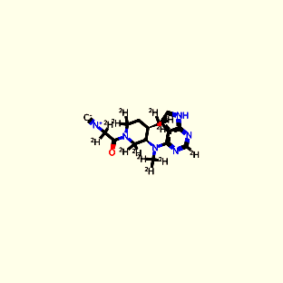 [2H]c1nc(N([C@@H]2[C@H](C([2H])([2H])[2H])CC([2H])([2H])N(C(=O)C([2H])([2H])[N+]#[C-])C2([2H])[2H])C([2H])([2H])[2H])c2cc[nH]c2n1